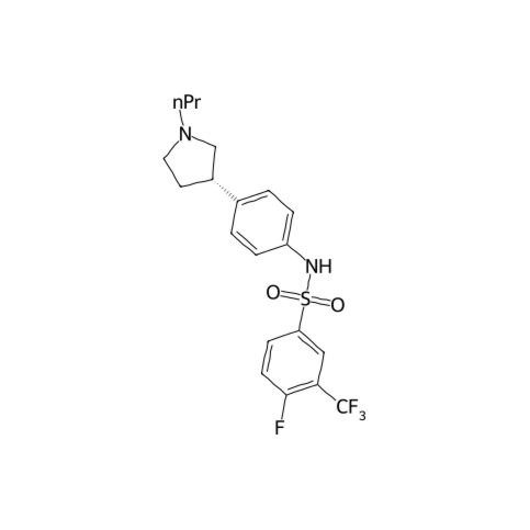 CCCN1CC[C@@H](c2ccc(NS(=O)(=O)c3ccc(F)c(C(F)(F)F)c3)cc2)C1